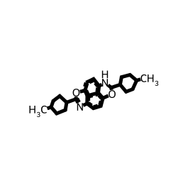 CC1CCC(C2=Nc3ccc4c5c(ccc(c35)O2)NC(C2CCC(C)CC2)O4)CC1